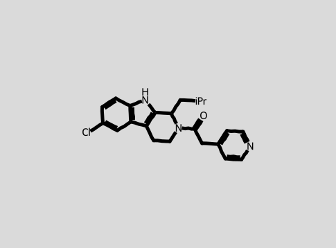 CC(C)CC1c2[nH]c3ccc(Cl)cc3c2CCN1C(=O)Cc1ccncc1